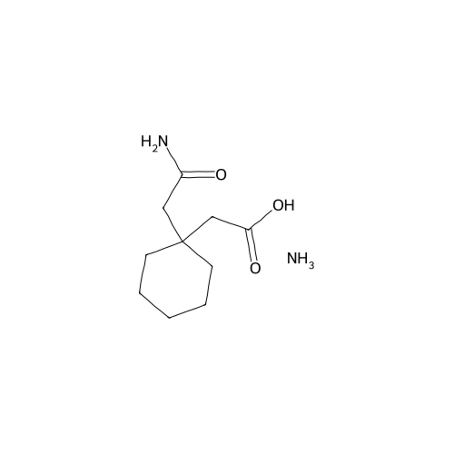 N.NC(=O)CC1(CC(=O)O)CCCCC1